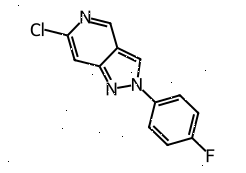 Fc1ccc(-n2cc3cnc(Cl)cc3n2)cc1